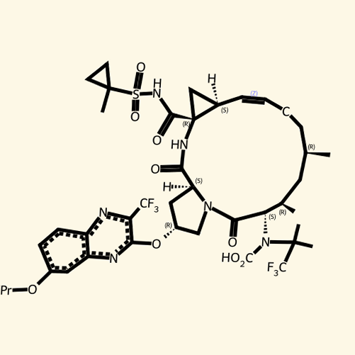 CC(C)Oc1ccc2nc(C(F)(F)F)c(O[C@@H]3C[C@H]4C(=O)N[C@]5(C(=O)NS(=O)(=O)C6(C)CC6)C[C@H]5/C=C\CC[C@@H](C)C[C@@H](C)[C@H](N(C(=O)O)C(C)(C)C(F)(F)F)C(=O)N4C3)nc2c1